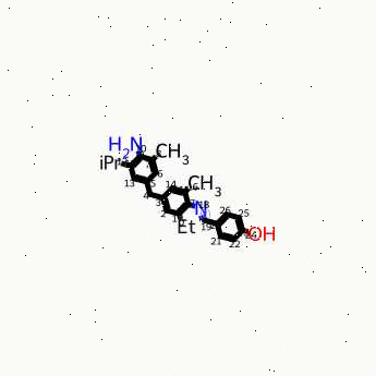 CCc1cc(Cc2cc(C)c(N)c(C(C)C)c2)cc(C)c1/N=C/c1ccc(O)cc1